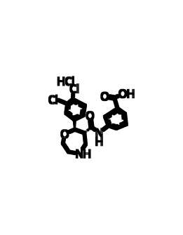 Cl.O=C(O)c1cccc(NC(=O)[C@@H]2CNCCO[C@H]2c2ccc(Cl)c(Cl)c2)c1